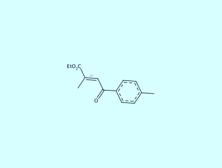 CCOC(=O)/C(C)=C/C(=O)c1ccc(C)cc1